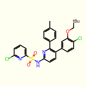 Cc1ccc(-c2nc(NS(=O)(=O)c3cccc(Cl)n3)ccc2-c2ccc(Cl)c(OCC(C)(C)C)c2)cc1